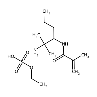 C=C(C)C(=O)NC(CCC)C(C)(C)N.CCOS(=O)(=O)O